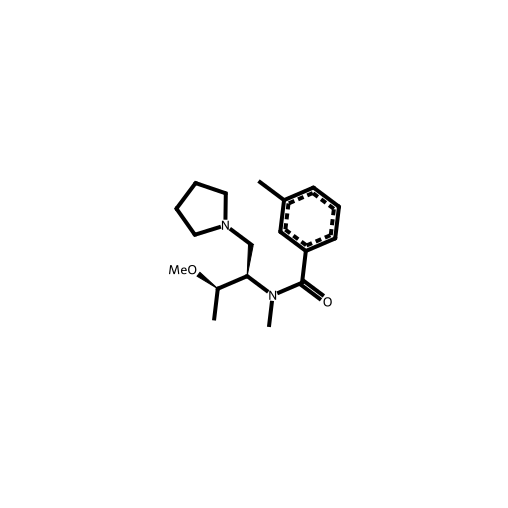 CO[C@H](C)[C@@H](CN1CCCC1)N(C)C(=O)c1cccc(C)c1